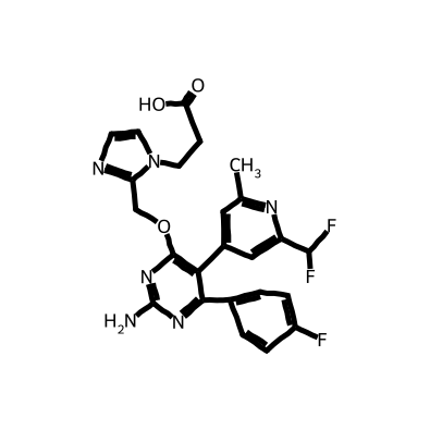 Cc1cc(-c2c(OCc3nccn3CCC(=O)O)nc(N)nc2-c2ccc(F)cc2)cc(C(F)F)n1